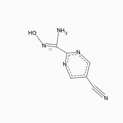 N#Cc1cnc(/C(N)=N/O)nc1